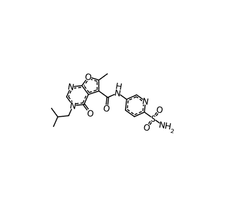 Cc1oc2ncn(CC(C)C)c(=O)c2c1C(=O)Nc1ccc(S(N)(=O)=O)nc1